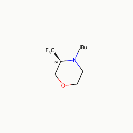 CCC(C)N1CCOC[C@H]1C(F)(F)F